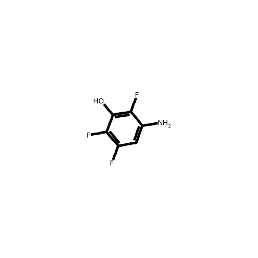 Nc1cc(F)c(F)c(O)c1F